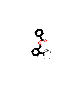 CC(C)c1ccccc1COC(=O)c1ccccc1